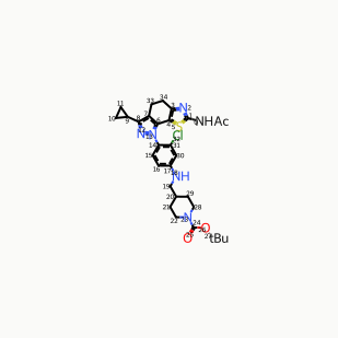 CC(=O)Nc1nc2c(s1)-c1c(c(C3CC3)nn1-c1ccc(NCC3CCN(C(=O)OC(C)(C)C)CC3)cc1Cl)CC2